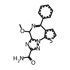 COC1N=C(c2ccccc2)c2ccsc2-n2nc(C(N)=O)nc21